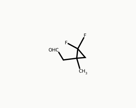 CC1(CC=O)CC1(F)F